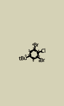 CC(C)(C)c1cc(Br)c(Cl)c(Br)c1